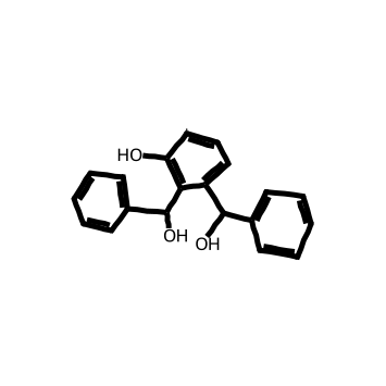 Oc1[c]ccc(C(O)c2ccccc2)c1C(O)c1ccccc1